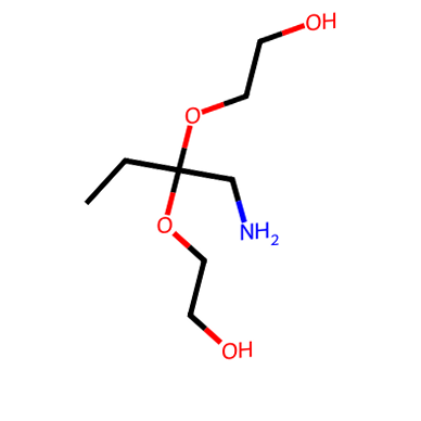 CCC(CN)(OCCO)OCCO